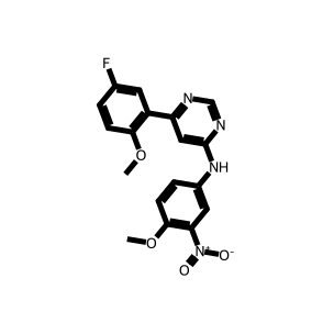 COc1ccc(F)cc1-c1cc(Nc2ccc(OC)c([N+](=O)[O-])c2)ncn1